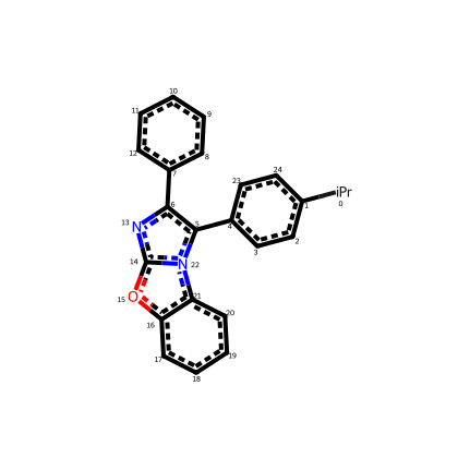 CC(C)c1ccc(-c2c(-c3ccccc3)nc3oc4ccccc4n23)cc1